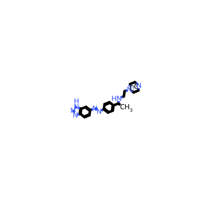 CC(NCC[N+]12CCN(CC1)CC2)c1ccc(N=Nc2ccc3nn[nH]c3c2)cc1